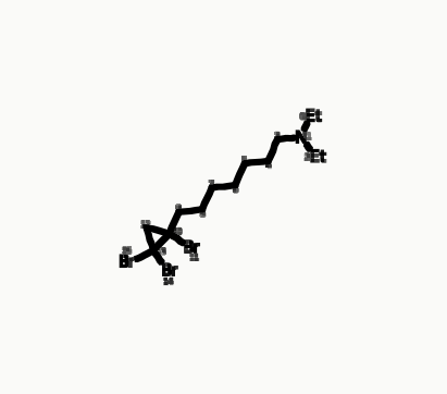 CCN(CC)CCCCCCCC1(Br)CC1(Br)Br